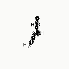 CN1CCN(c2ccc(C(=O)Nc3cc(-c4ccc(NC(=O)OCc5ccccc5)cc4)n[nH]3)cc2)CC1